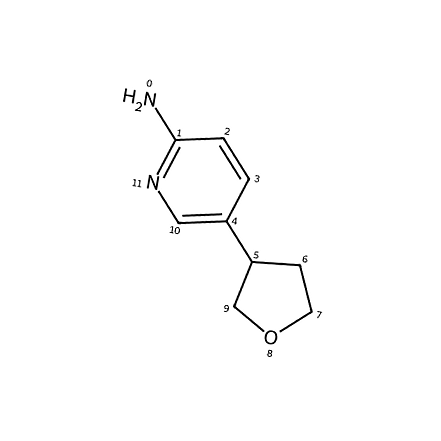 Nc1ccc(C2CCOC2)cn1